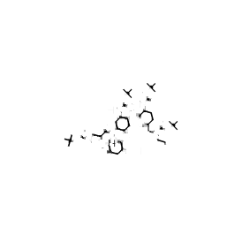 CC(C)(C)OC(=O)NC[C@H](O)C(=O)N[C@@H]1C[C@H](NC(=O)OC(C)(C)C)[C@@H](O[C@H]2O[C@H](CN(CCF)C(=O)OC(C)(C)C)CC[C@H]2NC(=O)OC(C)(C)C)[C@H](O)[C@H]1O[C@H]1OC[C@](C)(O)[CH][C@H]1O